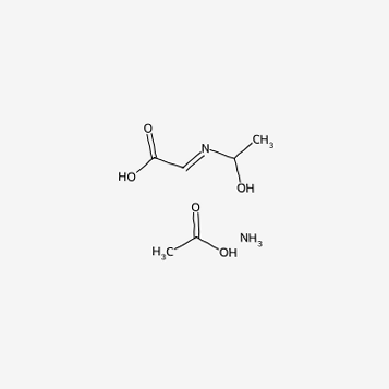 CC(=O)O.CC(O)N=CC(=O)O.N